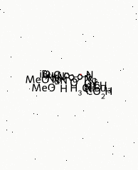 CC[C@H](C)[C@H](NC(=O)OC)C(=O)N1C[C@@H](COC)C[C@H]1c1nc2ccc3cc4c(cc3c2[nH]1)OCc1cc(-c2cnc([C@@H]3CC[C@H](C)N3C(=O)[C@H]([C@@H](C)CC)N(C)C(=O)O)[nH]2)ccc1-4